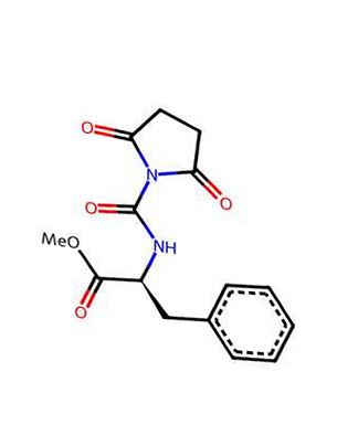 COC(=O)[C@H](Cc1ccccc1)NC(=O)N1C(=O)CCC1=O